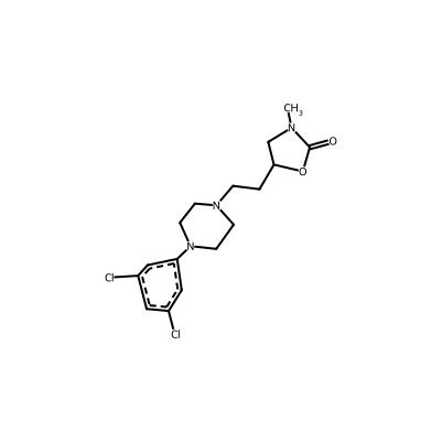 CN1CC(CCN2CCN(c3cc(Cl)cc(Cl)c3)CC2)OC1=O